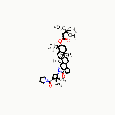 CC(C)(CC(=O)O[C@H]1CC[C@@]2(C)C(CC[C@]3(C)C2CCC2C4CCC[C@]4(C(=O)NC4C[C@H](C(=O)N5CCCC5)C4(C)C)CC[C@]23C)C1(C)C)C(=O)O